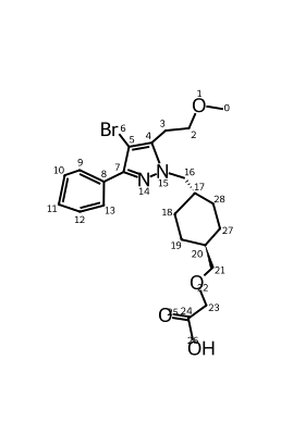 COCCc1c(Br)c(-c2ccccc2)nn1C[C@H]1CC[C@H](COCC(=O)O)CC1